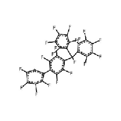 Fc1[c]c(-c2c(F)c(F)c(C(F)(c3c(F)c(F)c(F)c(F)c3F)c3c(F)c(F)c(F)c(F)c3F)c(F)c2F)c(F)c(F)c1F